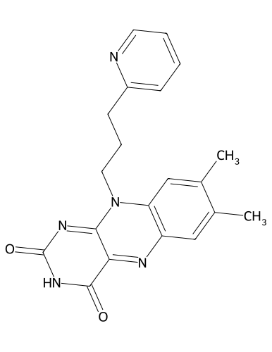 Cc1cc2nc3c(=O)[nH]c(=O)nc-3n(CCCc3ccccn3)c2cc1C